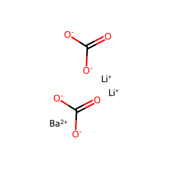 O=C([O-])[O-].O=C([O-])[O-].[Ba+2].[Li+].[Li+]